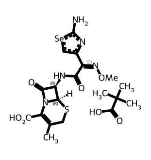 CC(C)(C)C(=O)O.CO/N=C(\C(=O)N[C@@H]1C(=O)N2C(C(=O)O)=C(C)CS[C@H]12)c1c[se]c(N)n1